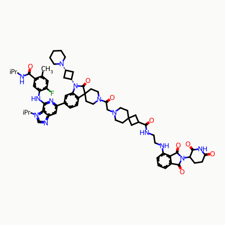 Cc1cc(F)c(Nc2nc(-c3ccc4c(c3)N([C@H]3C[C@@H](N5CCCCC5)C3)C(=O)C43CCN(C(=O)CN4CCC5(CC4)CC(C(=O)NCCNc4cccc6c4C(=O)N(C4CCC(=O)NC4=O)C6=O)C5)CC3)cc3ncn(C(C)C)c23)cc1C(=O)NC(C)C